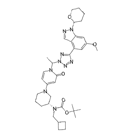 COc1cc(-c2nnn(C(C)n3ccc(N4CCC[C@@H](N(CC5CCC5)C(=O)OC(C)(C)C)C4)cc3=O)n2)c2cnn(C3CCCCO3)c2c1